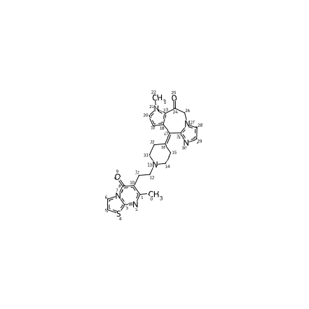 Cc1nc2sccn2c(=O)c1CCN1CCC(=C2c3ccn(C)c3C(=O)Cn3ccnc32)CC1